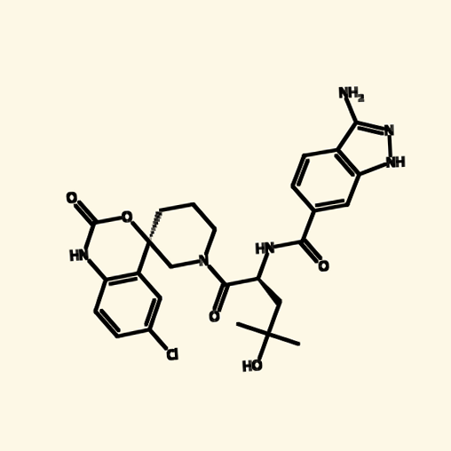 CC(C)(O)C[C@H](NC(=O)c1ccc2c(N)n[nH]c2c1)C(=O)N1CCC[C@@]2(C1)OC(=O)Nc1ccc(Cl)cc12